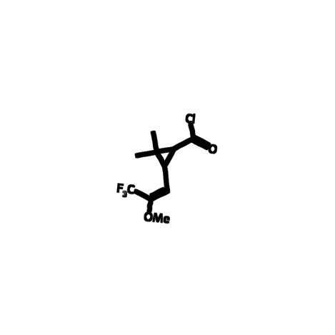 COC(=CC1C(C(=O)Cl)C1(C)C)C(F)(F)F